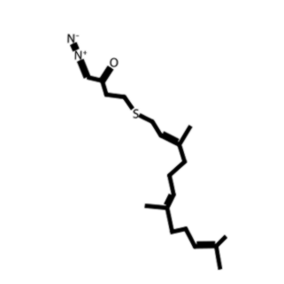 CC(C)=CCCC(C)=CCCC(C)=CCSCCC(=O)C=[N+]=[N-]